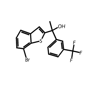 CC(O)(c1cccc(C(F)(F)F)c1)c1cc2cccc(Br)c2s1